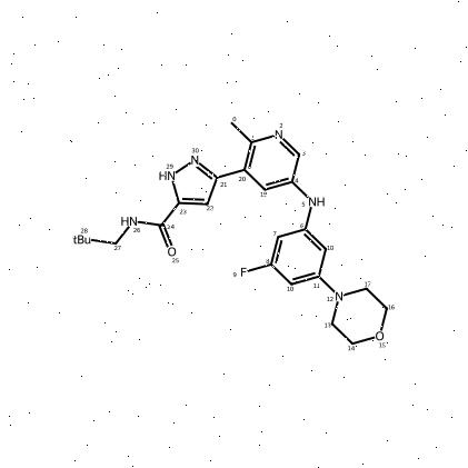 Cc1ncc(Nc2cc(F)cc(N3CCOCC3)c2)cc1-c1cc(C(=O)NCC(C)(C)C)[nH]n1